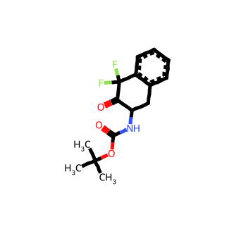 CC(C)(C)OC(=O)NC1Cc2ccccc2C(F)(F)C1=O